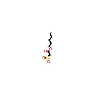 CCCCCOC(=O)C=S(=O)=O